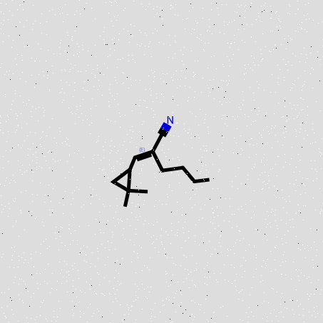 CCCC/C(C#N)=C\C1CC1(C)C